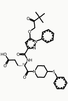 CC(C)(C)C(=O)COc1cc(C(=O)N[C@@H](CCC(=O)O)C(=O)N2CCC(Sc3ccccc3)CC2)nn1-c1ccccc1